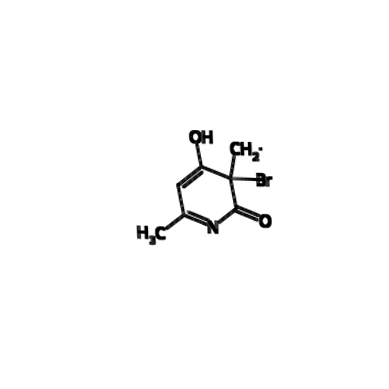 [CH2]C1(Br)C(=O)N=C(C)C=C1O